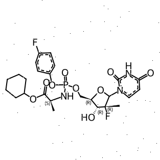 C[C@H](NP(=O)(OC[C@H]1OC(n2ccc(=O)[nH]c2=O)[C@](C)(F)[C@@H]1O)Oc1ccc(F)cc1)C(=O)OC1CCCCC1